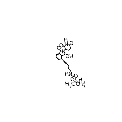 CC(C)(C)OC(=O)NCCCC#Cc1cccc2c1C(O)N(C1CCC(=O)NC1=O)C2=O